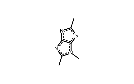 Cc1nc2nc(C)n(C)c2s1